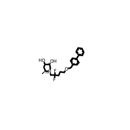 C[C@H]1CC(O)[C@@H](O)CN1CC(F)(F)CCCOCc1ccc(-c2ccccc2)cc1